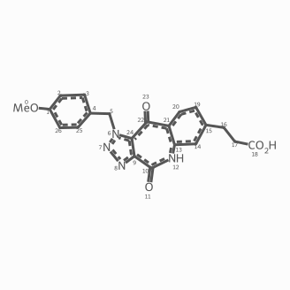 COc1ccc(Cn2nnc3c(=O)[nH]c4cc(CCC(=O)O)ccc4c(=O)c32)cc1